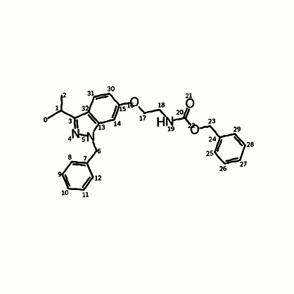 CC(C)c1nn(Cc2ccccc2)c2cc(OCCNC(=O)OCc3ccccc3)ccc12